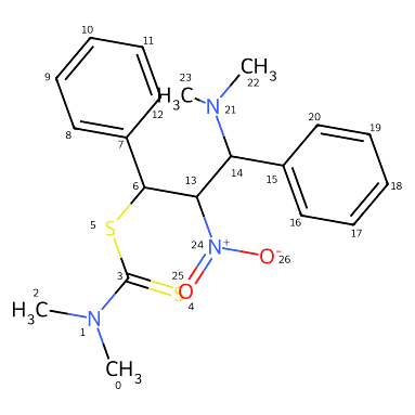 CN(C)C(=S)SC(c1ccccc1)C(C(c1ccccc1)N(C)C)[N+](=O)[O-]